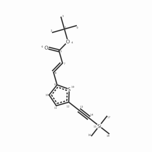 CC(C)(C)OC(=O)/C=C/c1ccc(C#C[Si](C)(C)C)s1